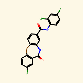 O=C(Nc1ccc(F)cc1Cl)c1ccc2c(c1)NC(=O)c1cc(F)ccc1S2